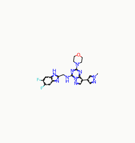 Cn1cc(-c2cnn3c(NCc4nc5cc(F)c(F)cc5[nH]4)nc(N4CCOCC4)nc23)cn1